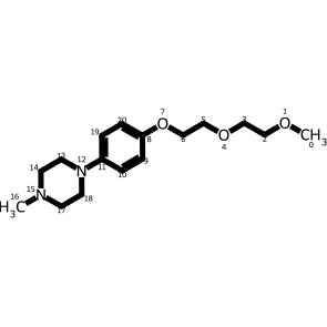 COCCOCCOc1ccc(N2CCN(C)CC2)cc1